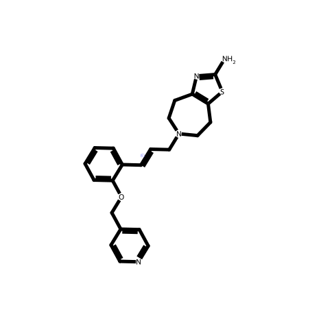 Nc1nc2c(s1)CCN(C/C=C/c1ccccc1OCc1ccncc1)CC2